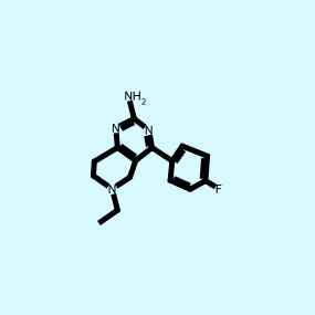 CCN1CCc2nc(N)nc(-c3ccc(F)cc3)c2C1